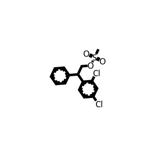 CS(=O)(=O)OCC(c1ccccc1)c1ccc(Cl)cc1Cl